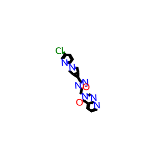 O=c1c2cccnc2ncn1Cc1nc(C2C3CN(c4ccc(Cl)cn4)CC32)no1